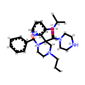 CCCN1CCN(C(=O)c2ccccc2)C(C(=O)N2CCNCC2)(c2ncccc2NC(C)C)C1